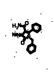 [N-]=[N+]=C1C(=O)N(Cc2ccccc2)C(c2ccccc2)=C1C(N)=O